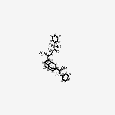 CCC(CC)(C(=O)NCC(N)C1C2CC3CC1CC(C(O)Nc1ccncc1)(C3)C2)c1ccccc1